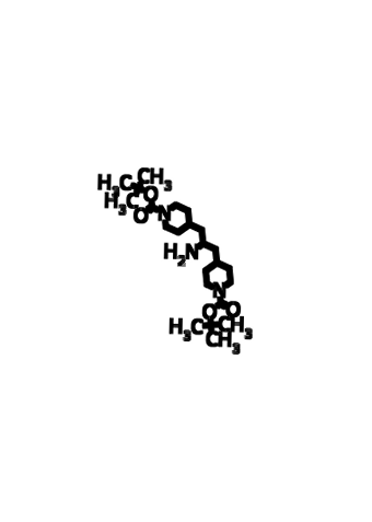 CC(C)(C)OC(=O)N1CCC(CC(N)CC2CCN(C(=O)OC(C)(C)C)CC2)CC1